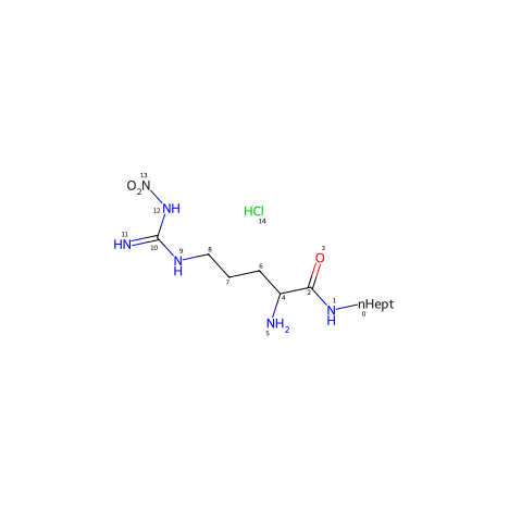 CCCCCCCNC(=O)C(N)CCCNC(=N)N[N+](=O)[O-].Cl